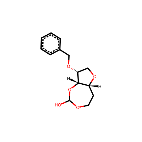 OC1OCC[C@H]2OC[C@@H](OCc3ccccc3)[C@H]2O1